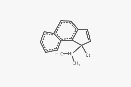 CC[C]1([Hf]([CH3])[CH3])C=Cc2ccc3ccccc3c21